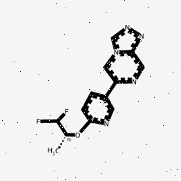 C[C@@H](Oc1ccc(-c2cn3cnnc3cn2)cn1)C(F)F